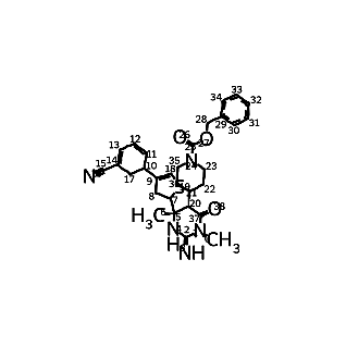 CN1C(=N)N[C@](C)(C2CC(C3C=CC=C(C#N)C3)=CS2)[C@@H](C2CCN(C(=O)OCc3ccccc3)CC2)C1=O